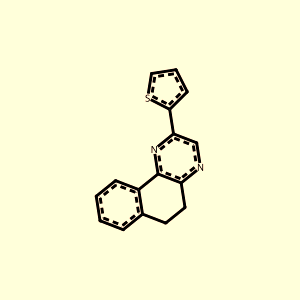 c1csc(-c2cnc3c(n2)-c2ccccc2CC3)c1